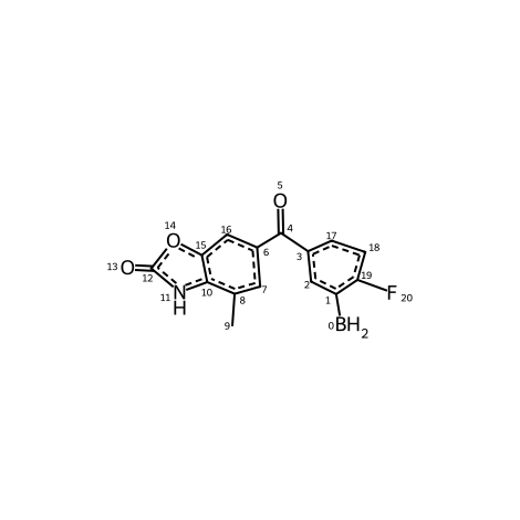 Bc1cc(C(=O)c2cc(C)c3[nH]c(=O)oc3c2)ccc1F